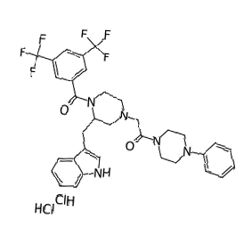 Cl.Cl.O=C(CN1CCN(C(=O)c2cc(C(F)(F)F)cc(C(F)(F)F)c2)C(Cc2c[nH]c3ccccc23)C1)N1CCN(c2ccccc2)CC1